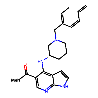 C=C/C=C\C(=C/C)CN1CCC[C@H](Nc2c(C(=O)NC)cnc3[nH]ccc23)C1